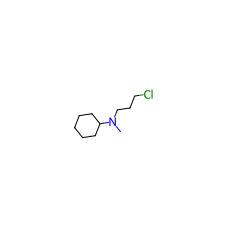 CN(CCCCl)C1CCCCC1